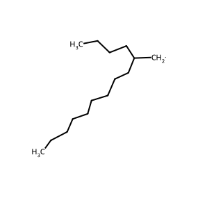 [CH2]C(CCCC)CCCCCCCCC